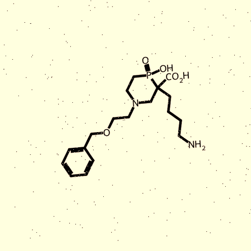 NCCCCC1(C(=O)O)CN(CCOCc2ccccc2)CCP1(=O)O